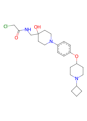 O=C(CCl)NCC1(O)CCN(c2ccc(OC3CCN(C4CCC4)CC3)cc2)CC1